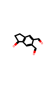 O=Cc1cc2c(cc1C=O)C(=O)CC2